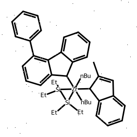 CCC[CH2][Zr]1([CH2]CCC)([CH]2C(C)=Cc3ccccc32)([CH]2c3ccccc3-c3c(-c4ccccc4)cccc32)[Si](CC)(CC)[Si]1(CC)CC